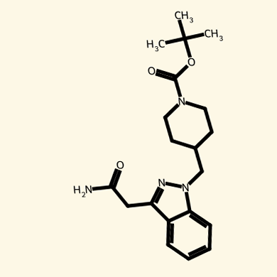 CC(C)(C)OC(=O)N1CCC(Cn2nc(CC(N)=O)c3ccccc32)CC1